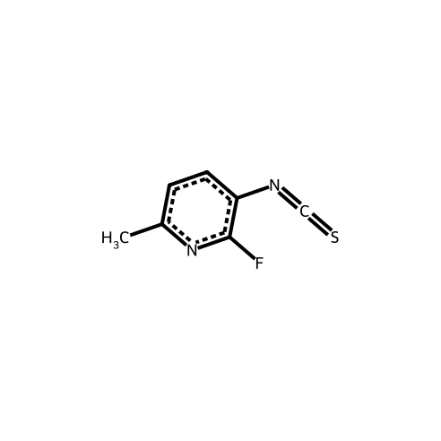 Cc1ccc(N=C=S)c(F)n1